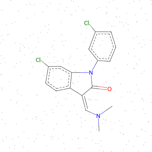 CN(C)C=C1C(=O)N(c2cccc(Cl)c2)c2cc(Cl)ccc21